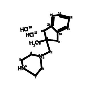 CC1(CN2CCNCC2)Cc2ccccc2C1.Cl.Cl